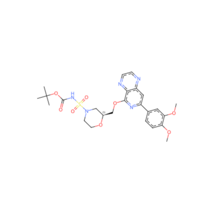 COc1ccc(-c2cc3nccnc3c(OC[C@@H]3CN(S(=O)(=O)NC(=O)OC(C)(C)C)CCO3)n2)cc1OC